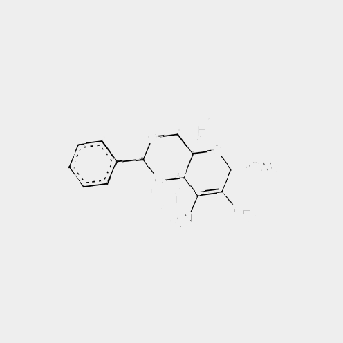 CO[C@H]1O[C@@H]2COC(c3ccccc3)O[C@@H]2C([N+](=O)[O-])=C1C